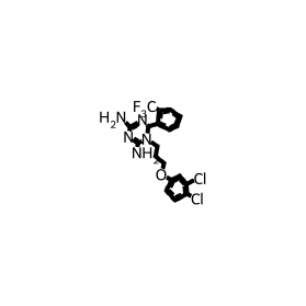 NC1=NC(c2ccccc2C(F)(F)F)N(CCCOc2ccc(Cl)c(Cl)c2)C(N)=N1